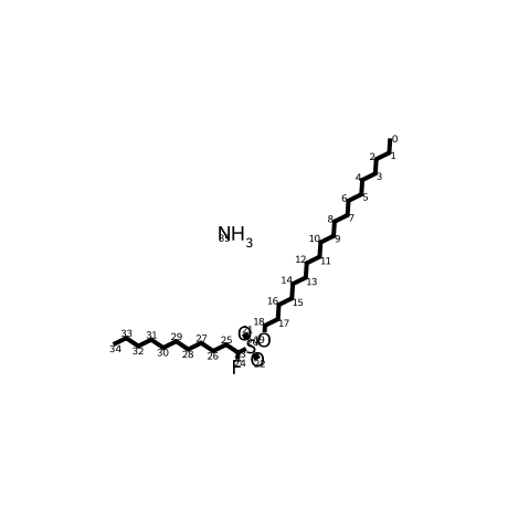 CCCCCCCCCCCCCCCCCCCOS(=O)(=O)C(F)CCCCCCCCCC.N